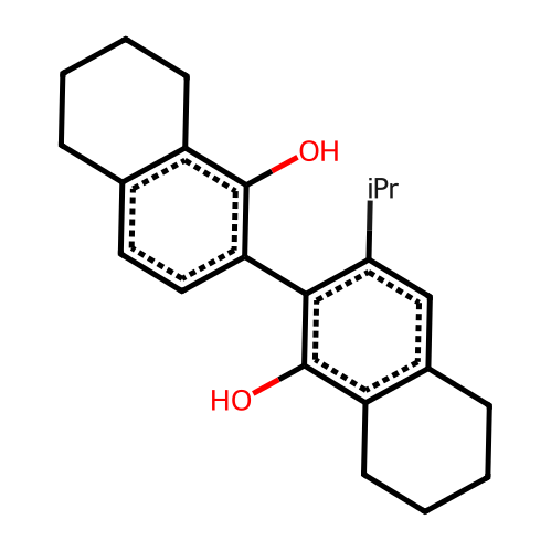 CC(C)c1cc2c(c(O)c1-c1ccc3c(c1O)CCCC3)CCCC2